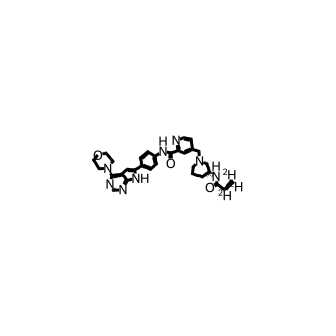 [2H]C([2H])=C([2H])C(=O)N[C@@H]1CCCN(Cc2ccnc(C(=O)Nc3ccc(-c4cc5c(N6CCOCC6)ncnc5[nH]4)cc3)c2)C1